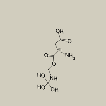 N[C@@H](CC(=O)O)C(=O)OCNC(O)(O)O